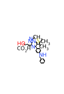 Cc1sc2c(c1C)C(c1ccc(NCc3ccccc3)cc1)=NC([C@H](CCO)C(=O)O)c1nnc(C)n1-2